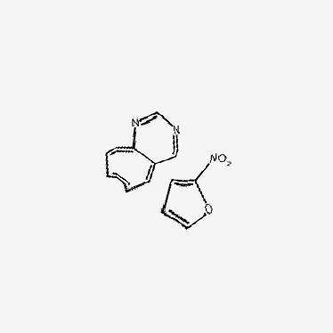 O=[N+]([O-])c1ccco1.c1ccc2ncncc2c1